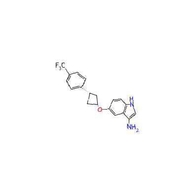 Nc1c[nH]c2ccc(O[C@H]3C[C@@H](c4ccc(C(F)(F)F)cc4)C3)cc12